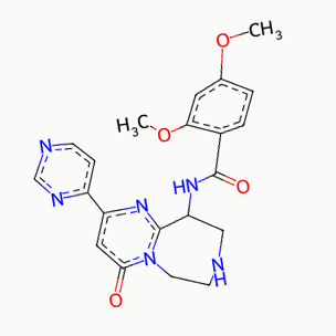 COc1ccc(C(=O)NC2CNCCn3c2nc(-c2ccncn2)cc3=O)c(OC)c1